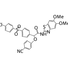 COc1cc2nc(NC(=O)C(Oc3ccc(C#N)cc3)c3ccc(S(=O)(=O)c4ccc(Cl)cc4)cc3)sc2cc1OC